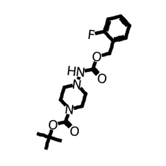 CC(C)(C)OC(=O)N1CCN(NC(=O)OCc2ccccc2F)CC1